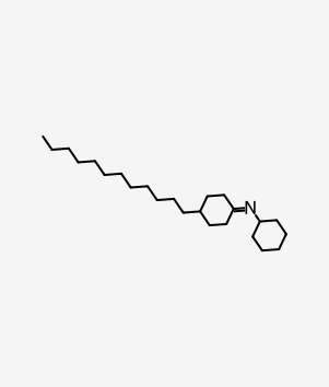 CCCCCCCCCCCCC1CCC(=NC2CCCCC2)CC1